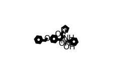 O=C([C@@H](N[C@H](CO)c1ccccc1)[C@H](O)c1ccc(OCc2ccccc2)cc1)N1CCCC1